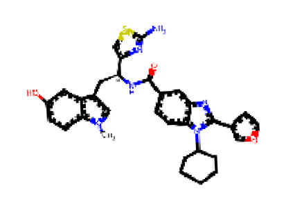 Cn1cc(C[C@H](NC(=O)c2ccc3c(c2)nc(-c2ccoc2)n3C2CCCCC2)c2csc(N)n2)c2cc(O)ccc21